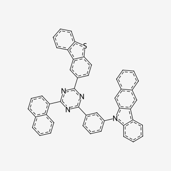 c1cc(-c2nc(-c3ccc4sc5ccccc5c4c3)nc(-c3cccc4ccccc34)n2)cc(-n2c3ccccc3c3cc4ccccc4cc32)c1